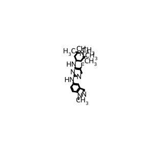 CN1C(C)(C)CC(Nc2nc(Nc3ccc4c(cnn4C)c3)ncc2F)CC1(C)C